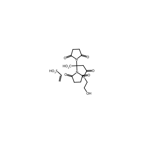 C=CS(=O)(=O)O.O=C(CC(C(=O)O)(N1C(=O)CCC1=O)N1C(=O)CCC1=O)OCCO